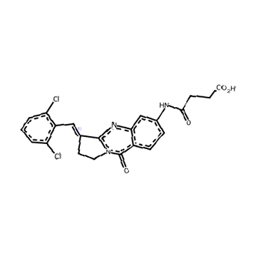 O=C(O)CCC(=O)Nc1ccc2c(=O)n3c(nc2c1)/C(=C/c1c(Cl)cccc1Cl)CC3